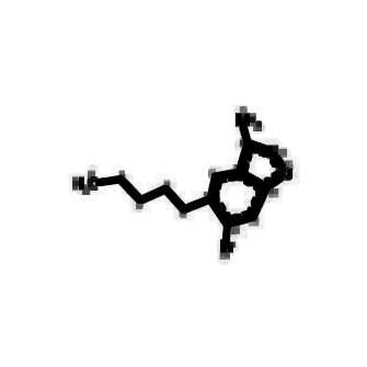 CCCCCc1cc2c(N)noc2cc1Br